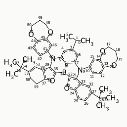 CC(C)c1cc2c3c(c1)N(c1ccc4c(c1)OCCCO4)c1c(oc4ccc(C(C)(C)C)cc14)B3c1oc3c(c1N2c1ccc2c(c1)OCCCO2)C=C(C(C)(C)C)CC3